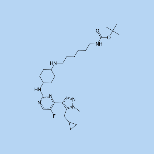 Cn1ncc(-c2nc(NC3CCC(NCCCCCCNC(=O)OC(C)(C)C)CC3)ncc2F)c1CC1CC1